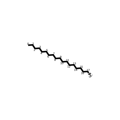 CCCCCCCCCCCCCCCCCC[S]